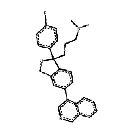 CN(C)CCCC1(c2ccc(F)cc2)OCc2cc(-c3cncc4ccccc34)ccc21